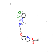 O=C(OC1=Nc2cc(OCCCCN3CCN(c4cccc(Cl)c4Cl)CC3)ccc2CC1)C1CC1